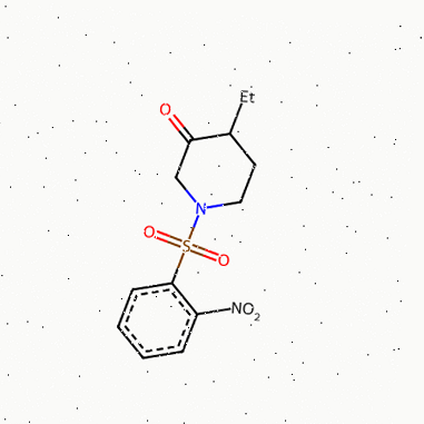 [CH2]CC1CCN(S(=O)(=O)c2ccccc2[N+](=O)[O-])CC1=O